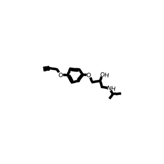 C#CCOc1ccc(OCC(O)CNC(C)C)cc1